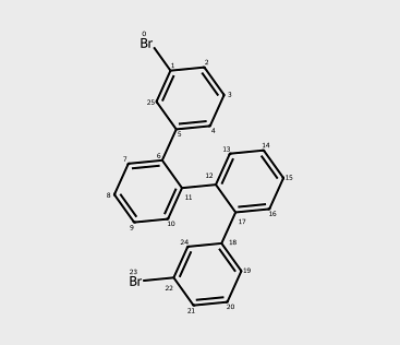 Brc1cccc(-c2ccccc2-c2ccccc2-c2cccc(Br)c2)c1